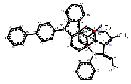 CC1=C(c2ccccc2C)\C(=C\C(C)C)N(c2ccccc2)c2ccc3c(c2/C=C\1)c1ccccc1n3-c1ccc(-c2ccccc2)cc1